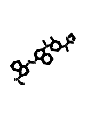 CCC(C)Nc1ccc(/N=N/c2ccc(N(C)c3ccc(N(C)c4nccs4)cc3C)c3ccccc23)c2ccccc12